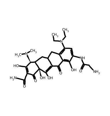 CCN(CC)c1cc(NC(=O)CN)c(O)c2c1CC1CC3[C@H](N(C)C)C(O)=C(C(N)=O)C(=O)[C@@]3(O)C(O)=C1C2=O